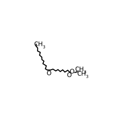 CCCCCCCCCCCCC1OC1CCCCCCCC(=O)OCC(C)C